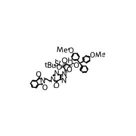 COc1ccc(C(OC[C@H]2O[C@@H](n3cnc4c(=O)n(CCN5C(=O)c6ccccc6C5=O)cnc43)[C@H](O[Si](C)(C)C(C)(C)C)[C@@H]2O)(c2ccccc2)c2ccc(OC)cc2)cc1